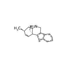 C[C@@H]1C=C[C@]23CCN(Cc4c2sc2ccccc42)[C@H]3C1